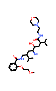 COCCOc1ccccc1C(=O)NCC(CC(N)C(O)CC(C(=O)NCCN1CCOCC1)C(C)C)C(C)C